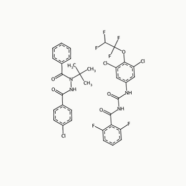 CC(C)(C)N(NC(=O)c1ccc(Cl)cc1)C(=O)c1ccccc1.O=C(NC(=O)c1c(F)cccc1F)Nc1cc(Cl)c(OC(F)(F)C(F)F)c(Cl)c1